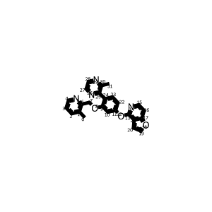 Cc1cccnc1COc1cc(Oc2nccc3occc23)ccc1-c1nccnc1C